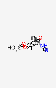 CC(C)C1=C2[C@H]3CCC4[C@@]5(C)CC[C@H](OC(=O)CC(C)(C)C(=O)O)C(C)(C)[C@@H]5CC[C@@]4(C)[C@]3(C)CC[C@@]2(CCNCc2ccncc2)CC1=O